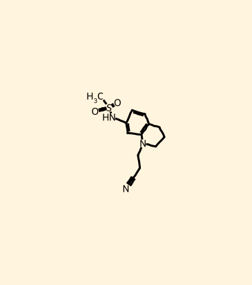 CS(=O)(=O)Nc1ccc2c(c1)N(CCC#N)CCC2